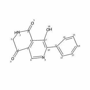 O=C1CNC(=O)c2c1cnc(-c1ccccc1)c2O